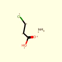 O=C(O)CCCl.[InH3]